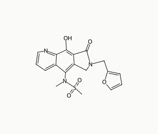 CN(c1c2c(c(O)c3ncccc13)C(=O)N(Cc1ccco1)C2)S(C)(=O)=O